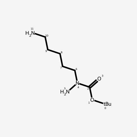 CC(C)(C)OC(=O)N(N)CCCCCN